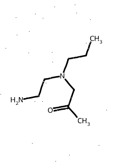 CCCN(CCN)CC(C)=O